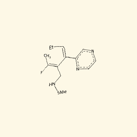 CC/C=C(\C(CNSC)=C(/C)F)c1cnccn1